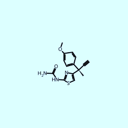 C#C[C@@](C)(c1ccc(OC)cc1)c1csc(NC(N)=O)n1